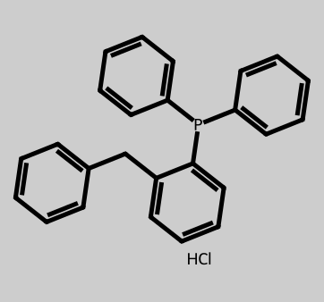 Cl.c1ccc(Cc2ccccc2P(c2ccccc2)c2ccccc2)cc1